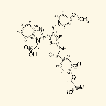 COc1ccc(Cn2nc(NC(=O)c3ccc(OCC(=O)O)c(Cl)c3)cc2-c2nc3ccccc3n2CC(=O)O)cc1